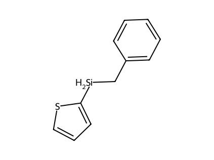 c1ccc(C[SiH2]c2cccs2)cc1